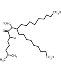 CCCCCCCCCCN(C(=O)C(F)CCCN(C)C)C(CCCCCCCCC(=O)O)CCCCCCCCC(=O)O